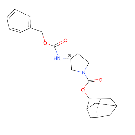 O=C(N[C@@H]1CCN(C(=O)OC2C3CC4CC(C3)CC2C4)C1)OCc1ccccc1